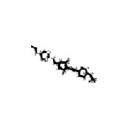 CCC[C@H]1CO[C@H](CCc2cc(F)c(C#CC3CCC(C=C(F)F)CC3)c(F)c2)OC1